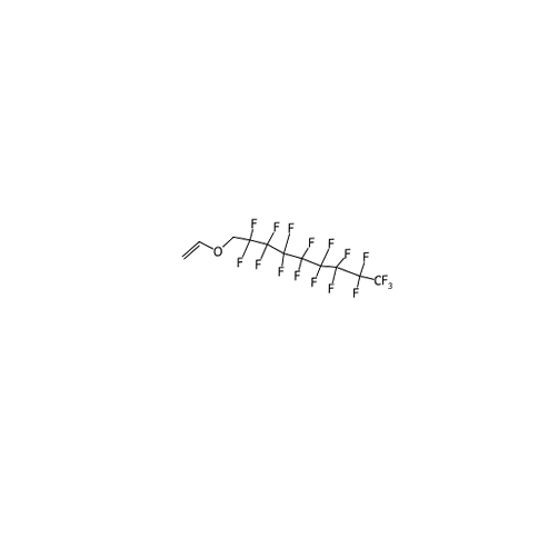 C=COCC(F)(F)C(F)(F)C(F)(F)C(F)(F)C(F)(F)C(F)(F)C(F)(F)C(F)(F)F